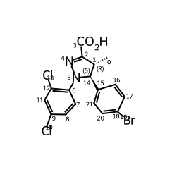 C[C@H]1C(C(=O)O)=NN(c2ccc(Cl)cc2Cl)[C@@H]1c1ccc(Br)cc1